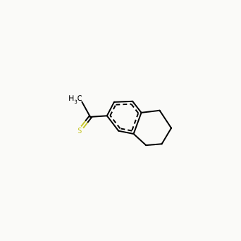 CC(=S)c1ccc2c(c1)CCCC2